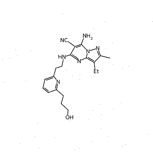 CCc1c(C)nn2c(N)c(C#N)c(NCCc3cccc(CCCO)n3)nc12